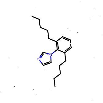 CCCCCc1cccc(CCCCC)c1-n1ccnc1